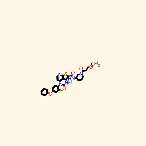 COCCC(=O)N1CCCC(NC(=O)[C@@H]2Sc3nccc4c3C2NC(=O)N4c2ccc(Oc3ccccc3)cc2F)C1